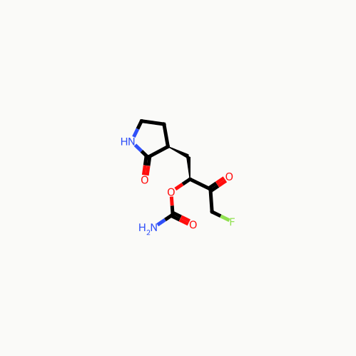 NC(=O)O[C@@H](C[C@@H]1CCNC1=O)C(=O)CF